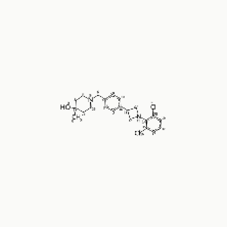 CC1(O)CCN(Cc2ccc(C3CN(c4c(Cl)cccc4Cl)C3)cc2)CC1